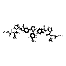 COC(=O)NC(C(=O)N1CCC[C@H]1c1nc2ccc([C@H]3CC[C@H](c4ccc5nc([C@@H]6CCCN6C(=O)[C@@H](NC(=O)OC)C6CC6)[nH]c5c4)N3c3ccc(C(C)(C)C)cc3)cc2[nH]1)C1CC1